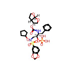 O=C(N[C@@H](Cc1ccccc1)[C@H](CN(OC1CCCC1)S(=O)(=O)c1ccc2c(c1)OCO2)OP(=O)(O)O)O[C@H]1CO[C@H]2OCC[C@H]21